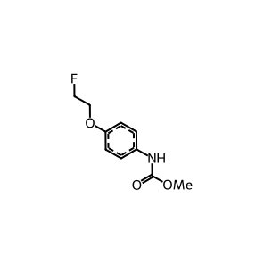 COC(=O)Nc1ccc(OCCF)cc1